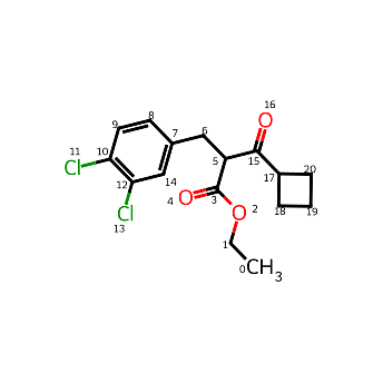 CCOC(=O)C(Cc1ccc(Cl)c(Cl)c1)C(=O)C1CCC1